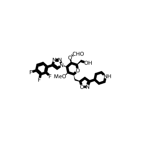 CO[C@@H]1[C@H](n2cc(-c3ccc(F)c(F)c3F)nn2)[C@@H](OC=O)[C@@H](CO)O[C@@H]1C[C@H]1CC(C2CCNCC2)=NO1